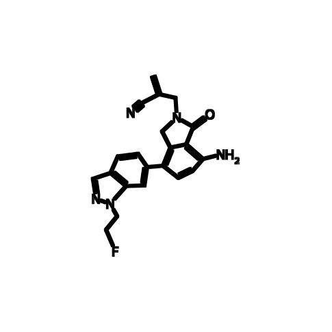 C=C(C#N)CN1Cc2c(-c3ccc4cnn(CCF)c4c3)ccc(N)c2C1=O